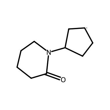 O=C1CCCCN1C1C[CH]CC1